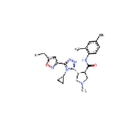 Cc1ccc(NC(=O)[C@H]2CN(C)C[C@@H]2c2nnc(-c3cc(CC(C)C)on3)n2C2CC2)c(C)c1